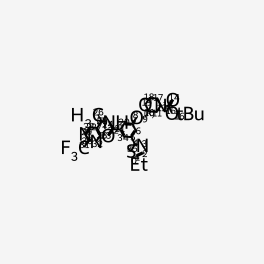 CCc1cnc(-c2cc(OC[C@H]3CN(C(=O)OC(C)(C)C)CCO3)cc(C(=O)N[C@H](C)c3cnc(C(F)(F)F)nc3)c2)s1